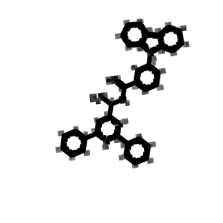 N=C(OC(N)c1cc(-c2ccccc2)nc(-c2ccccc2)n1)c1cccc(-n2c3ccccc3c3ccccc32)c1